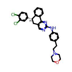 Clc1ccc([C@H]2Cc3cnc(Nc4ccc(CCN5CCOCC5)cc4)nc3-c3ccccc32)cc1Cl